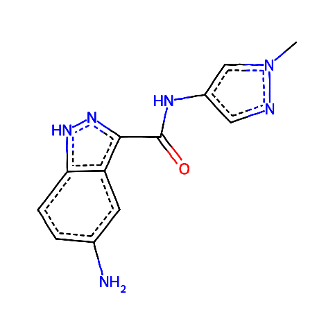 Cn1cc(NC(=O)c2n[nH]c3ccc(N)cc23)cn1